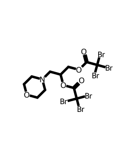 O=C(OCC(CN1CCOCC1)OC(=O)C(Br)(Br)Br)C(Br)(Br)Br